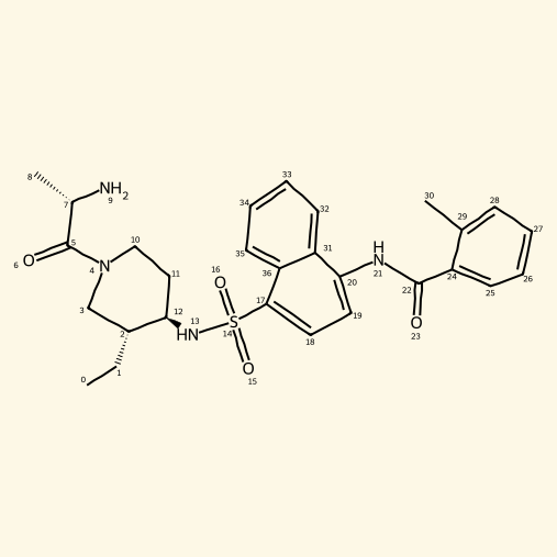 CC[C@@H]1CN(C(=O)[C@H](C)N)CC[C@H]1NS(=O)(=O)c1ccc(NC(=O)c2ccccc2C)c2ccccc12